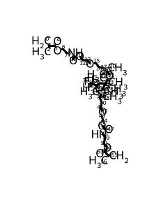 C=C(C)C(=O)OCCNC(=O)OCCOCCC[Si](C)(C)OC(C)(C)C(C)(CCC(F)(F)F)C(C)(C)[Si](C)(C)CCCOCCOC(=O)NCCOC(=O)C(=C)C